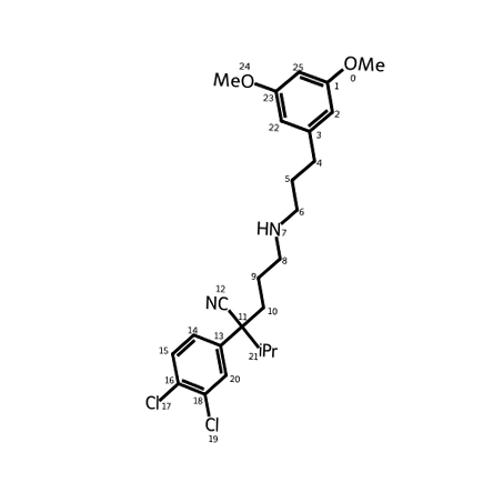 COc1cc(CCCNCCCC(C#N)(c2ccc(Cl)c(Cl)c2)C(C)C)cc(OC)c1